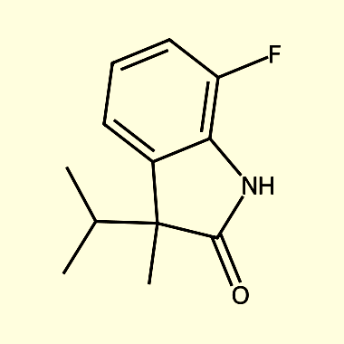 CC(C)C1(C)C(=O)Nc2c(F)cccc21